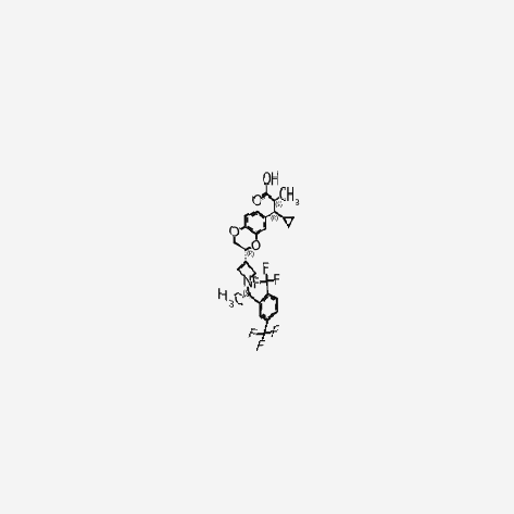 C[C@H](C(=O)O)[C@H](c1ccc2c(c1)O[C@H](C1CN([C@@H](C)c3cc(C(F)(F)F)ccc3C(F)(F)F)C1)CO2)C1CC1